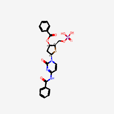 O=C(Nc1ccn([C@H]2C[C@@H](OC(=O)c3ccccc3)[C@@H](COP(=O)(O)O)S2)c(=O)n1)c1ccccc1